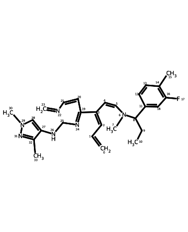 C=CC=C(/C=C\N(C)C(CC)c1ccc(C)c(F)c1)C(/C=C\N=C)=N/CNc1cn(C)nc1C